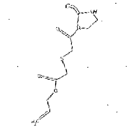 C=CCOC(=O)CSCC(=O)N1CCNC1=O